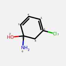 NC1(O)C=CC=C(Cl)C1